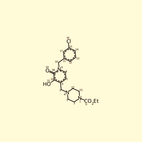 CCOC(=O)N1CCN(Cc2ccn(Cc3cccc(Cl)c3)c(=O)c2O)CC1